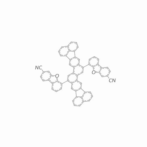 N#Cc1ccc2c(c1)oc1c(-c3cc4c5cc6c(cc5c(-c5cccc7c5oc5cc(C#N)ccc57)cc4c4cc5c(cc34)-c3cccc4cccc-5c34)-c3cccc4cccc-6c34)cccc12